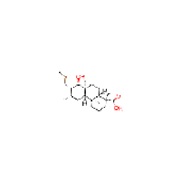 CSC[C@@H]1[C@@H](O)[C@@]2(C)CC[C@H]3[C@@](C)(CCC[C@@]3(C)C(=O)O)[C@@H]2C[C@@H]1C